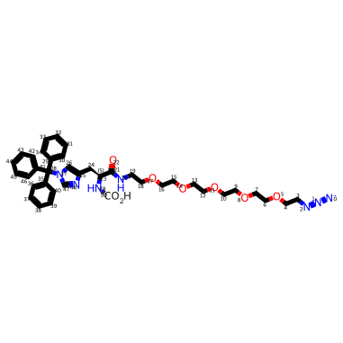 [N-]=[N+]=NCCOCCOCCOCCOCCOCCNC(=O)[C@H](Cc1cn(C(c2ccccc2)(c2ccccc2)c2ccccc2)cn1)NC(=O)O